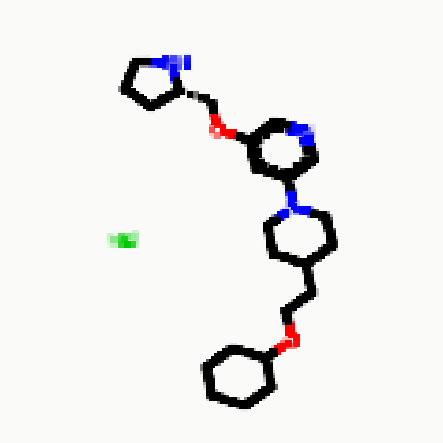 Cl.c1ncc(N2CCC(CCOC3CCCCC3)CC2)cc1OC[C@@H]1CCCN1